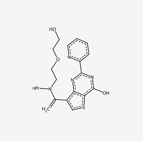 C=C(c1csc2c(O)nc(-c3ccccn3)nc12)N(CCC)CCOCCO